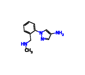 CNCc1ccccc1-n1cc(N)cn1